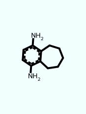 Nc1ccc(N)c2c1CCCCC2